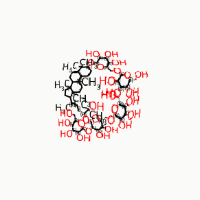 C[C@H](CC[C@@H](O[C@@H]1O[C@H](CO[C@@H]2O[C@H](CO)[C@@H](O)[C@H](O)[C@H]2O)[C@@H](O)[C@H](O)[C@H]1O[C@@H]1O[C@H](CO)[C@@H](O)[C@H](O)[C@H]1O)C(C)(C)O)C1CC[C@@]2(C)C3CC=C4C(CC[C@H](O[C@@H]5O[C@H](CO[C@H]6O[C@H](CO)[C@@H](O)[C@H](O)[C@H]6O)[C@@H](O)[C@H](O)[C@H]5O)C4(C)C)[C@]3(C)CC[C@]12C